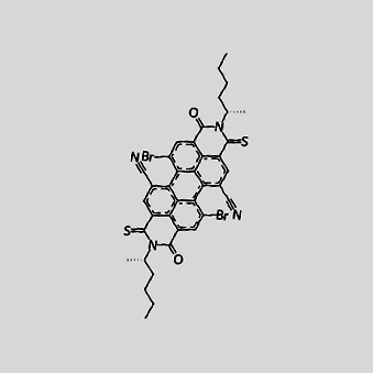 CCCC[C@H](C)N1C(=O)c2cc(Br)c3c4c(C#N)cc5c6c(cc(Br)c(c7c(C#N)cc(c2c37)C1=S)c64)C(=O)N([C@@H](C)CCCC)C5=S